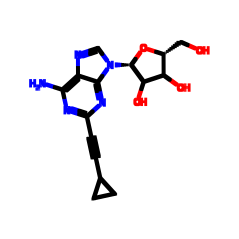 Nc1nc(C#CC2CC2)nc2c1ncn2[C@@H]1O[C@H](CO)C(O)C1O